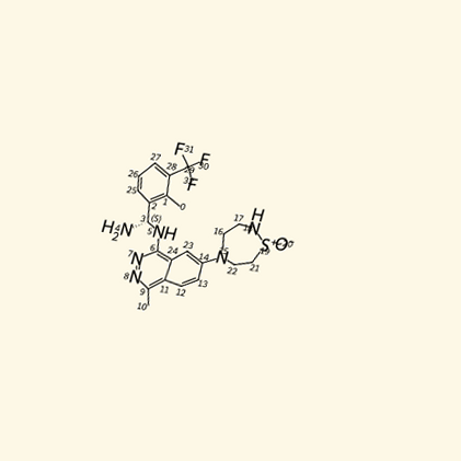 Cc1c([C@@H](N)Nc2nnc(C)c3ccc(N4CCN[S+]([O-])CC4)cc23)cccc1C(F)(F)F